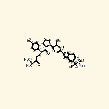 CN(C)C(=O)CCN(C(=O)[C@@H]1CCCN1C(=O)C(NC(=O)c1cc2cc(C(F)(F)P(=O)(O)O)ccc2s1)C(C)(C)C)c1ccc(Br)cc1